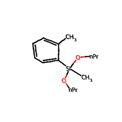 CCCO[Si](C)(OCCC)c1ccccc1C